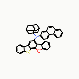 c1ccc2c(c1)ccc1cc(N(c3cc4c5ccccc5sc4c4oc5ccccc5c34)C34CC5CC(CC(C5)C3)C4)ccc12